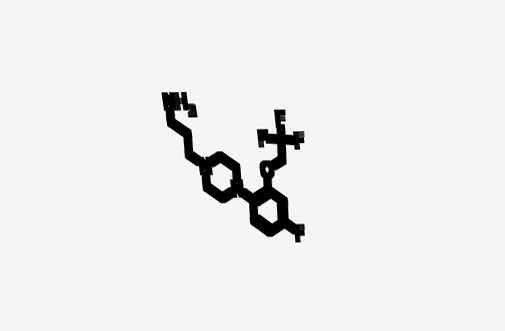 NCCCN1CCN(c2ccc(F)cc2OCC(F)(F)F)CC1